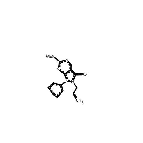 C=CCn1c(=O)c2cnc(SC)nc2n1-c1ccccc1